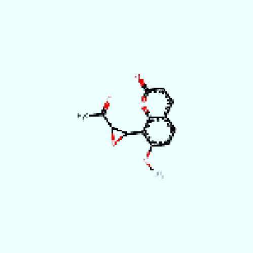 COc1ccc2ccc(=O)oc2c1C1OC1C(C)=O